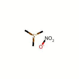 C[S+](C)C.O=[N+]([O-])[O-]